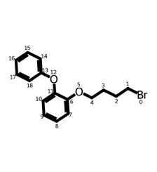 BrCCCCOc1ccccc1Oc1ccccc1